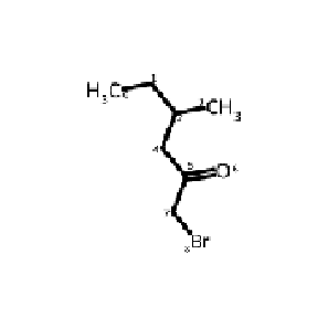 CCC(C)CC(=O)CBr